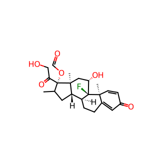 CC1C[C@H]2[C@@H]3CCC4=CC(=O)C=C[C@]4(C)[C@@]3(F)[C@@H](O)C[C@]2(C)[C@]1(OC=O)C(=O)CO